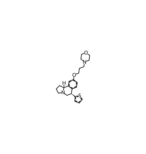 c1csc([C@H]2CN3CCC[C@@H]3c3cc(OCCCN4CCOCC4)ccc32)c1